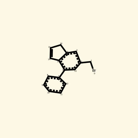 BrCc1cc2c(c(-c3ccccc3)c1)C=CC2